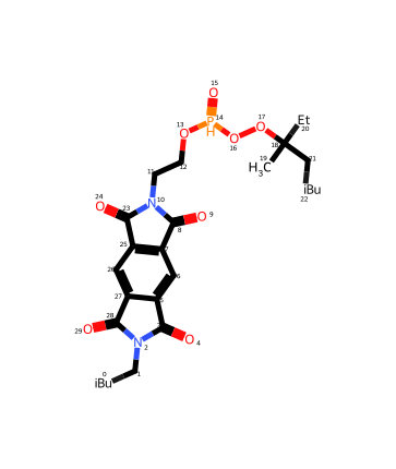 CCC(C)Cn1c(=O)c2cc3c(=O)n(CCO[PH](=O)OOC(C)(CC)CC(C)CC)c(=O)c3cc2c1=O